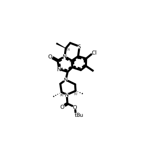 Cc1cc2c(N3C[C@@H](C)N(C(=O)OC(C)(C)C)[C@@H](C)C3)nc(=O)n3c2c(c1Cl)SC[C@@H]3C